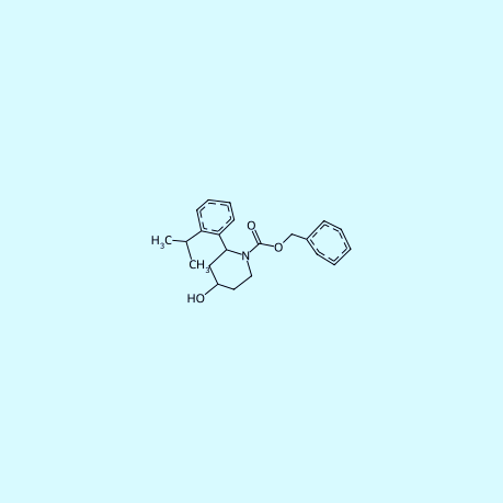 CC(C)c1ccccc1C1CC(O)CCN1C(=O)OCc1ccccc1